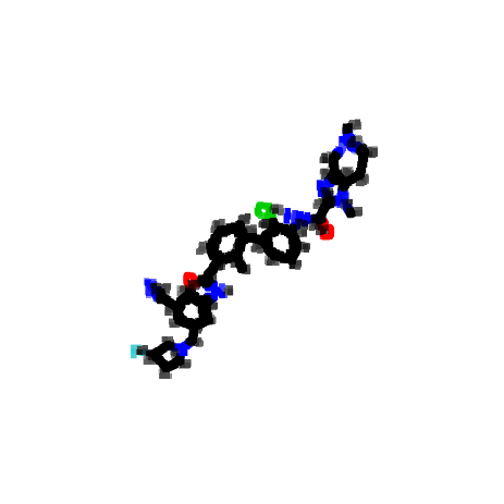 Cc1c(-c2nc3cc(CN4CC[C@@H](F)C4)cc(C#N)c3o2)cccc1-c1cccc(NC(=O)c2nc3c(n2C)CCN(C)C3)c1Cl